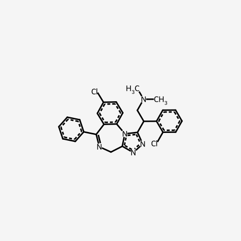 CN(C)CC(c1ccccc1Cl)c1nnc2n1-c1ccc(Cl)cc1C(c1ccccc1)=NC2